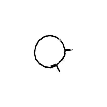 CC1=CCCCCCCCCCOCC(=O)CC1